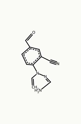 C=CN(/N=C\N)c1ccc(C=O)cc1C#N